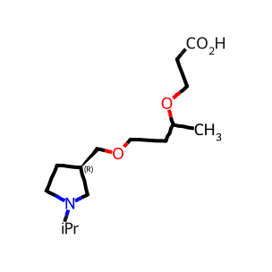 CC(CCOC[C@@H]1CCN(C(C)C)C1)OCCC(=O)O